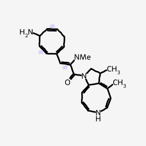 CN/C(=C\C1=CC/C=C\C(N)/C=C\1)C(=O)N1CC(C)c2c(C)cc[nH]cccc21